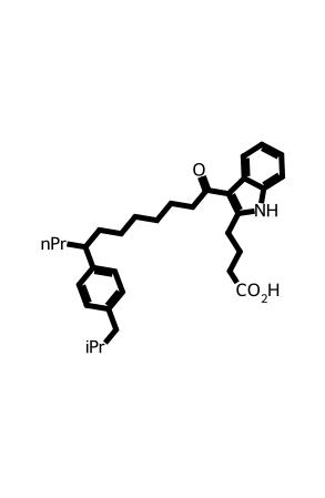 CCCC(CCCCCCC(=O)c1c(CCCC(=O)O)[nH]c2ccccc12)c1ccc(CC(C)C)cc1